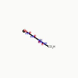 O=C(O)CCCCCNC(=O)CNCC(=O)NCCCCCC(=O)NCCCCC(=O)NCCOC1C=CC=CO1